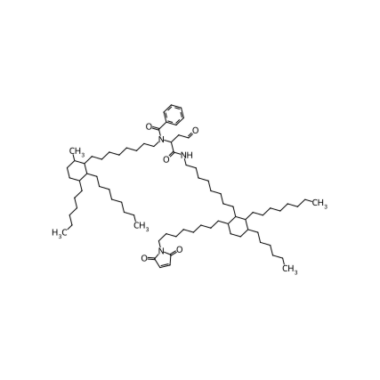 CCCCCCCCC1C(CCCCCC)CCC(C)C1CCCCCCCCN(C(=O)c1ccccc1)C(CC=O)C(=O)NCCCCCCCCC1C(CCCCCCCCN2C(=O)C=CC2=O)CCC(CCCCCC)C1CCCCCCCC